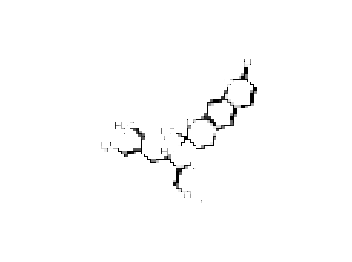 C=C/C(=C\C)CC/C(=C/C)O[C@H]1Cc2cc3ccc(=O)oc3cc2OC1(C)C